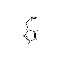 COCn1[c]nnn1